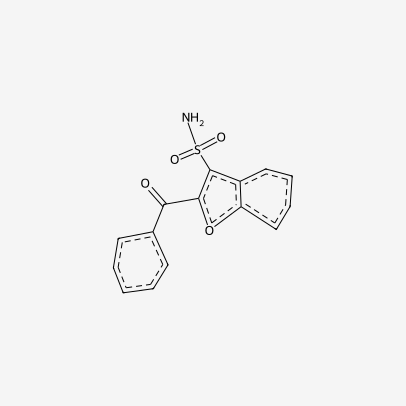 NS(=O)(=O)c1c(C(=O)c2ccccc2)oc2ccccc12